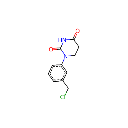 O=C1CCN(c2cccc(CCl)c2)C(=O)N1